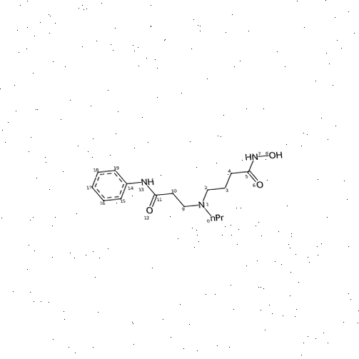 CCCN(CCCC(=O)NO)CCC(=O)Nc1ccccc1